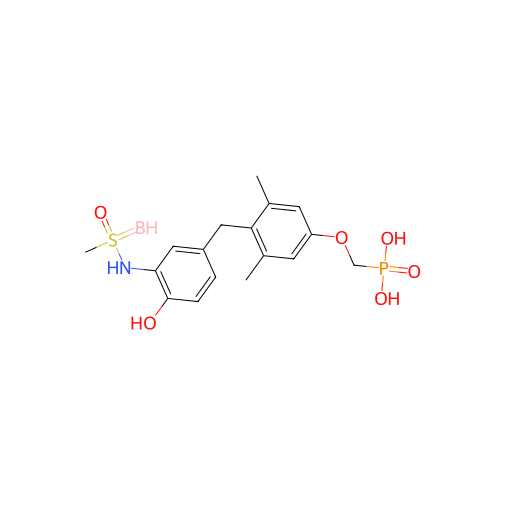 B=S(C)(=O)Nc1cc(Cc2c(C)cc(OCP(=O)(O)O)cc2C)ccc1O